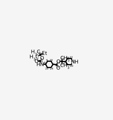 CCC(C)(C)OC(=O)NC1CCC(C(=O)OC(C)(C)C2CCNCC2)CC1